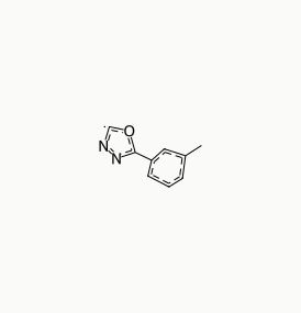 Cc1cccc(-c2nn[c]o2)c1